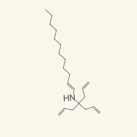 C=CCC(CC=C)(CC=C)NC=CCCCCCCCCCC